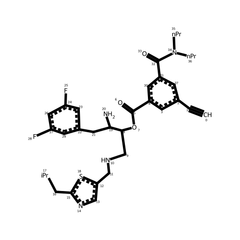 C#Cc1cc(C(=O)OC(CNCc2cnc(CC(C)C)s2)C(N)Cc2cc(F)cc(F)c2)cc(C(=O)N(CCC)CCC)c1